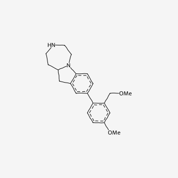 COCc1cc(OC)ccc1-c1ccc2c(c1)CC1CCNCCN21